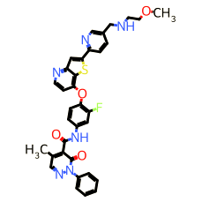 COCCNCc1ccc(-c2cc3nccc(Oc4ccc(NC(=O)c5c(C)cnn(-c6ccccc6)c5=O)cc4F)c3s2)nc1